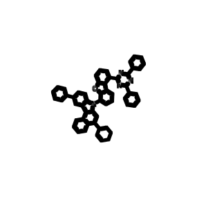 C1=CC(c2cc3c(c4ccccc24)c2cc(-c4ccccc4)ccc2n3-c2cccc3c2oc2cccc(-c4nc(-c5ccccc5)nc(-c5ccccc5)n4)c23)=CCC1